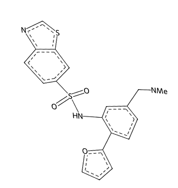 CNCc1ccc(-c2ccco2)c(NS(=O)(=O)c2ccc3ncsc3c2)c1